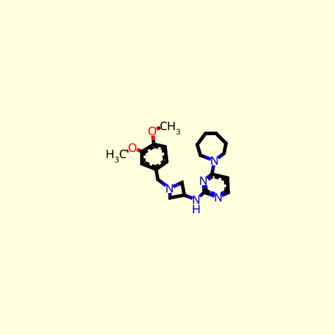 COc1ccc(CN2CC(Nc3nccc(N4CCCCCC4)n3)C2)cc1OC